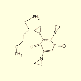 COCCCCP.O=C1C=C(N2CC2)C(=O)C(N2CC2)=C1N1CC1